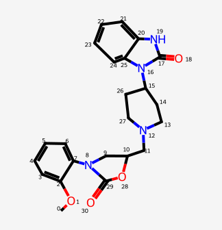 COc1ccccc1N1CC(CN2CCC(n3c(=O)[nH]c4ccccc43)CC2)OC1=O